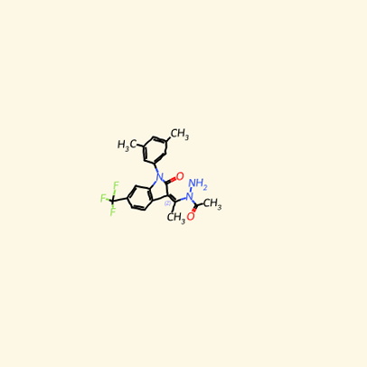 CC(=O)N(N)/C(C)=C1\C(=O)N(c2cc(C)cc(C)c2)c2cc(C(F)(F)F)ccc21